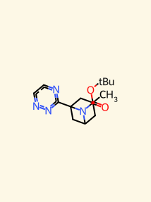 CC1CC2CC(c3nccnn3)(C1)N2C(=O)OC(C)(C)C